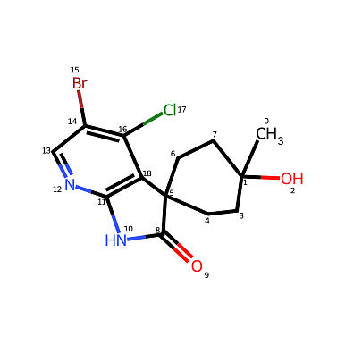 CC1(O)CCC2(CC1)C(=O)Nc1ncc(Br)c(Cl)c12